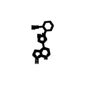 N#CC1CCCCC1n1cc(-c2ccnc3[nH]ccc23)cn1